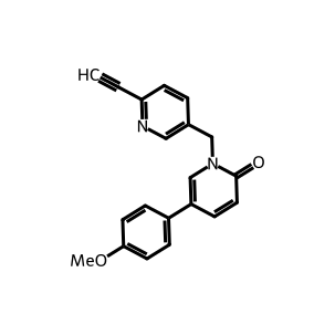 C#Cc1ccc(Cn2cc(-c3ccc(OC)cc3)ccc2=O)cn1